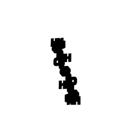 O=C(/C=C/c1ccc(/C=C/C(=O)N/N=C/c2cccc3[nH]ccc23)cc1)N/N=C/c1cccc2[nH]ccc12